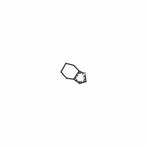 [C]1CCCc2sccc21